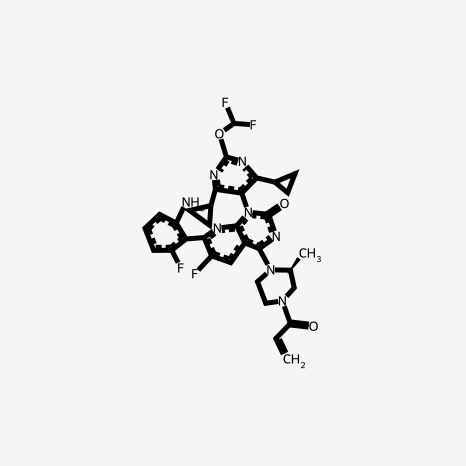 C=CC(=O)N1CCN(c2nc(=O)n(-c3c(C4CC4)nc(OC(F)F)nc3C3CC3)c3nc(-c4c(N)cccc4F)c(F)cc23)[C@@H](C)C1